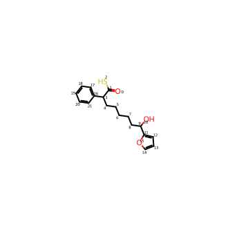 O=C(S)C(CCCCCC(O)c1ccco1)c1ccccc1